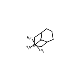 CC(C)(N)N1C2CCCC1COC2